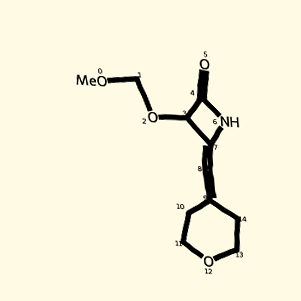 COCOC1C(=O)NC1=C=C1CCOCC1